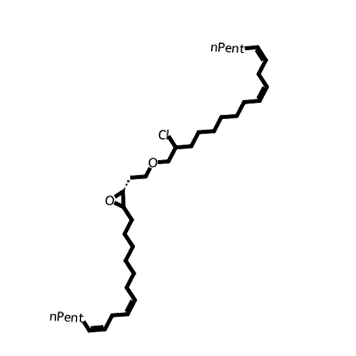 CCCCC/C=C\C/C=C\CCCCCCC(Cl)COCC[C@H]1OC1CCCCCC/C=C\C/C=C\CCCCC